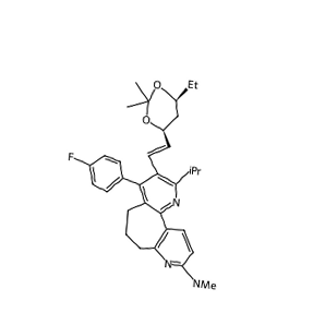 CC[C@H]1C[C@@H](/C=C/c2c(C(C)C)nc3c(c2-c2ccc(F)cc2)CCCc2nc(NC)ccc2-3)OC(C)(C)O1